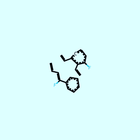 C=CC=C(F)c1ccccc1.C=Cc1cccc(F)c1C=C